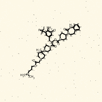 CN(C)CCCOC(=O)CN1CCC(C)(N2CCN(C(=O)[C@@H](Cc3cc(Cl)c(N)c(C(F)(F)F)c3)OC(=O)N3CCC(N4CCc5ccccc5NC4=O)CC3)CC2)CC1